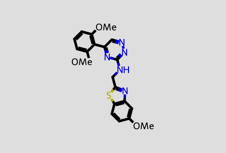 COc1ccc2sc(CNc3nncc(-c4c(OC)cccc4OC)n3)nc2c1